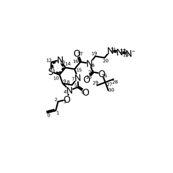 C=CCON1C(=O)N2CC1c1scnc1C2C(=O)N(CCN=[N+]=[N-])C(=O)OC(C)(C)C